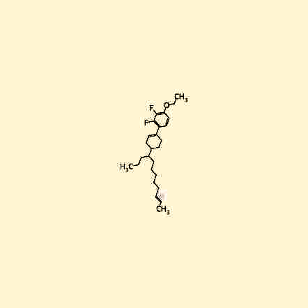 C/C=C/CCCCCC(CCC)C1CC=C(c2ccc(OCC)c(F)c2F)CC1